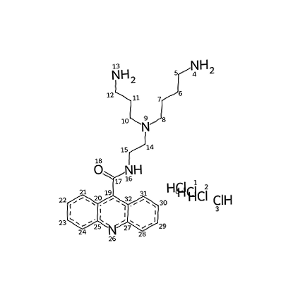 Cl.Cl.Cl.Cl.NCCCCN(CCCN)CCNC(=O)c1c2ccccc2nc2ccccc12